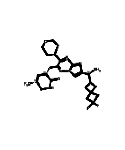 N[C@H](c1cn2nc(C[C@H]3C[C@@H](C(F)(F)F)CNC3=O)c(C3CCOCC3)nc2n1)C1CC2(C1)CC(F)(F)C2